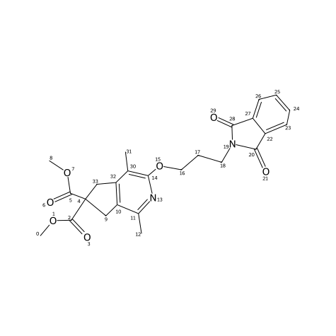 COC(=O)C1(C(=O)OC)Cc2c(C)nc(OCCCN3C(=O)c4ccccc4C3=O)c(C)c2C1